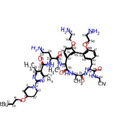 Cc1nc(N2CCC(OCCC(C)(C)C)CC2)nc(C)c1C(=O)NC(CCN)C(=O)N(C)C1C(=O)NC(C)C(=O)NC(C(=O)NCC#N)Cc2ccc(OCCN)c(c2)-c2cc1ccc2OCCN